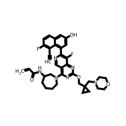 C#Cc1c(F)ccc2cc(O)cc(-c3ncc4c(N5CCCCC(NC(=O)C=C)C5)nc(OCC5(CN6CCOCC6)CC5)nc4c3F)c12